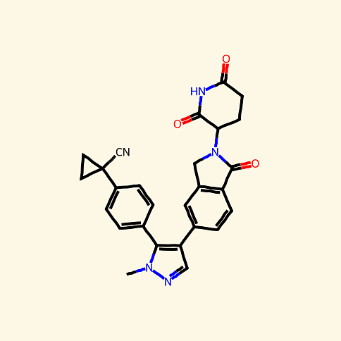 Cn1ncc(-c2ccc3c(c2)CN(C2CCC(=O)NC2=O)C3=O)c1-c1ccc(C2(C#N)CC2)cc1